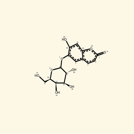 O=c1ccc2cc(OC3O[C@H](CO)[C@H](O)[C@H](O)[C@H]3O)c(O)cc2o1